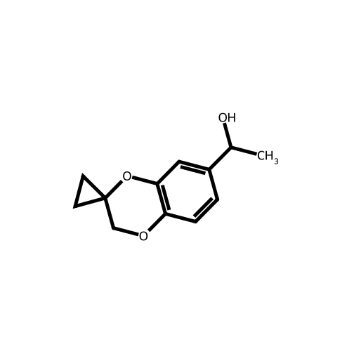 CC(O)c1ccc2c(c1)OC1(CC1)CO2